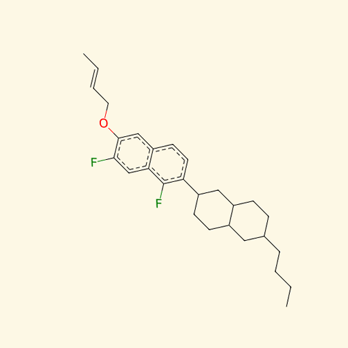 CC=CCOc1cc2ccc(C3CCC4CC(CCCC)CCC4C3)c(F)c2cc1F